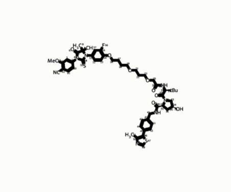 COc1cc(N2C(=O)C(C)(C)N(c3ccc(OCCCCOCCCOCC(=O)N[C@H](C(=O)N4C[C@H](O)C[C@H]4C(=O)NCc4ccc(-c5scnc5C)cc4)C(C)(C)C)c(F)c3)C2=S)ccc1C#N